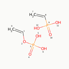 C=COP(=O)(O)O.C=CP(=O)(O)O